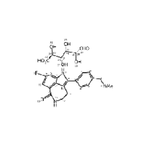 CNCc1ccc(-c2[nH]c3cc(F)cc4c3c2CCNC4=O)cc1.O=C[C@H](O)[C@@H](O)[C@H](O)[C@H](O)C(=O)O